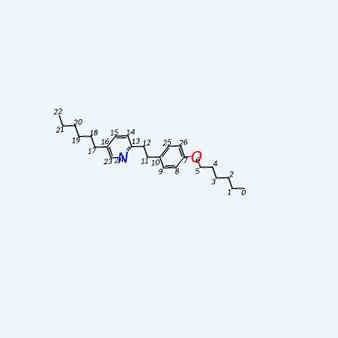 CCCCCCOc1ccc(CCc2ccc(CCCCCC)cn2)cc1